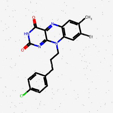 CCc1cc2c(cc1C)nc1c(=O)[nH]c(=O)nc-1n2CCCc1ccc(Cl)cc1